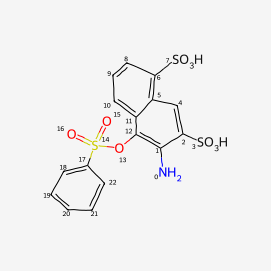 Nc1c(S(=O)(=O)O)cc2c(S(=O)(=O)O)cccc2c1OS(=O)(=O)c1ccccc1